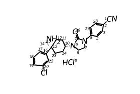 Cl.N#Cc1ccc(N2CCN([C@H]3CC[C@](CN)(c4cccc(Cl)c4)CC3)C2=O)cc1